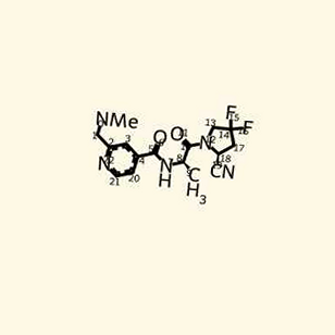 CNCc1cc(C(=O)N[C@H](C)C(=O)N2CC(F)(F)C[C@H]2C#N)ccn1